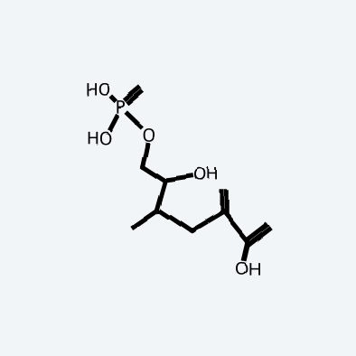 C=C(O)C(=C)CC(C)C(O)COP(=C)(O)O